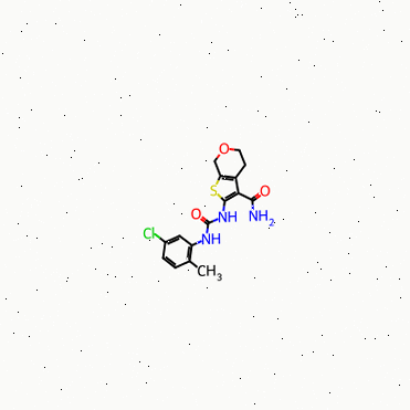 Cc1ccc(Cl)cc1NC(=O)Nc1sc2c(c1C(N)=O)CCOC2